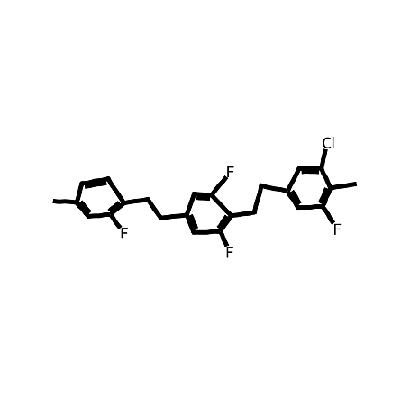 Cc1ccc(CCc2cc(F)c(CCc3cc(F)c(C)c(Cl)c3)c(F)c2)c(F)c1